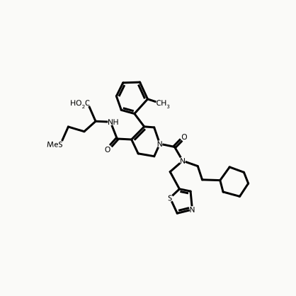 CSCCC(NC(=O)C1=C(c2ccccc2C)CN(C(=O)N(CCC2CCCCC2)Cc2cncs2)CC1)C(=O)O